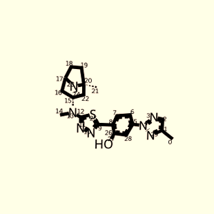 Cc1cnn(-c2ccc(-c3nnc(N(C)[C@@H]4CC5CC[C@@](C)(C4)N5C)s3)c(O)c2)n1